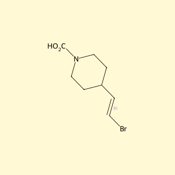 O=C(O)N1CCC(/C=C/Br)CC1